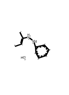 CC=C(C)[SiH2][Mg][c]1ccccc1.Cl